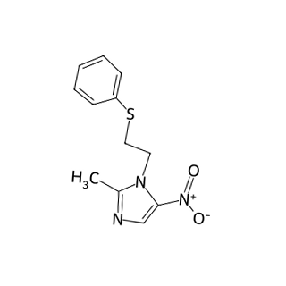 Cc1ncc([N+](=O)[O-])n1CCSc1ccccc1